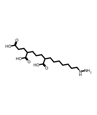 NNCCCCCCCC(CCCC(CCC(=O)O)C(=O)O)C(=O)O